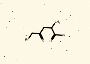 CC(C)CC(=O)CC(C)C(=O)C(C)C